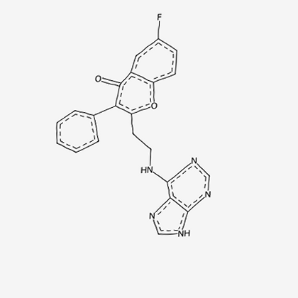 O=c1c(-c2ccccc2)c(CCNc2ncnc3[nH]cnc23)oc2ccc(F)cc12